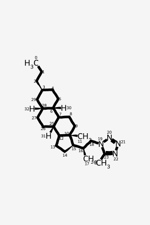 CCC[C@H]1CC[C@@H]2C3CC[C@@]4(C)C(CC[C@@H]4[C@H](C)Cn4nnnc4C)[C@@H]3CC[C@@H]2C1